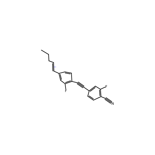 CCC/C=C/c1ccc(C#Cc2ccc(C#N)c(F)c2)c(F)c1